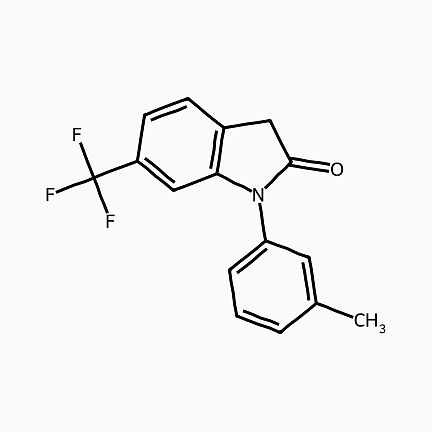 Cc1cccc(N2C(=O)Cc3ccc(C(F)(F)F)cc32)c1